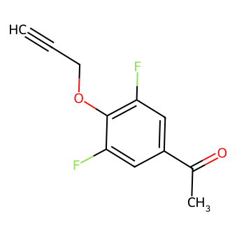 C#CCOc1c(F)cc(C(C)=O)cc1F